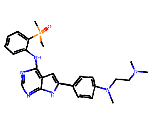 CN(C)CCN(C)c1ccc(-c2cc3c(Nc4ccccc4P(C)(C)=O)ncnc3[nH]2)cc1